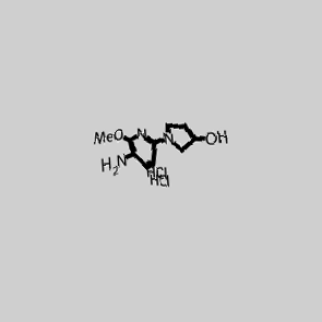 COc1nc(N2CCC(O)C2)ccc1N.Cl.Cl